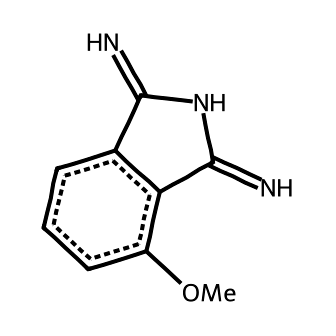 COc1cccc2c1C(=N)NC2=N